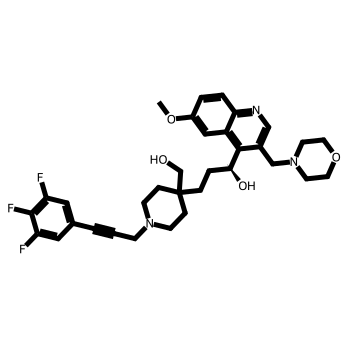 COc1ccc2ncc(CN3CCOCC3)c([C@@H](O)CCC3(CO)CCN(CC#Cc4cc(F)c(F)c(F)c4)CC3)c2c1